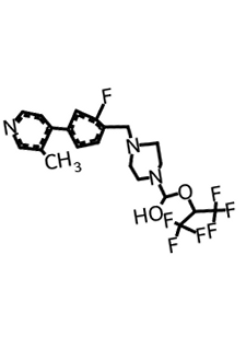 Cc1cnccc1-c1ccc(CN2CCN(C(O)OC(C(F)(F)F)C(F)(F)F)CC2)c(F)c1